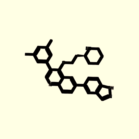 Cc1cc(C)cc(-c2cnc3ccc(-c4ccc5[nH]ncc5c4)cc3c2OCC[C@H]2CCCCN2)c1